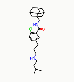 CC(C)CCNCCCc1ccc(Cl)c(C(=O)NCC23CC4CC(CC(C4)C2)C3)c1